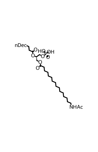 CCCCCCCCCCCCC(=O)O[C@H](COC(=O)CCCCCCCCCCCCCCCNC(C)=O)COP(=O)(O)O